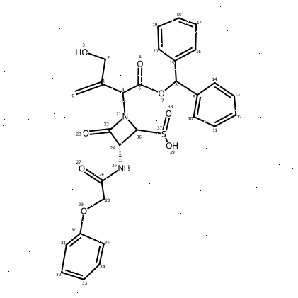 C=C(CO)C(C(=O)OC(c1ccccc1)c1ccccc1)N1C(=O)[C@@H](NC(=O)COc2ccccc2)C1S(=O)O